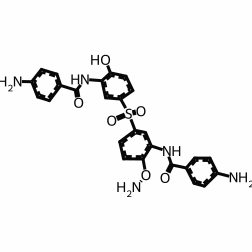 NOc1ccc(S(=O)(=O)c2ccc(O)c(NC(=O)c3ccc(N)cc3)c2)cc1NC(=O)c1ccc(N)cc1